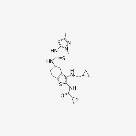 Cc1cc(NC(=S)NC2CCc3sc(NC(=O)C4CC4)c(NCC4CC4)c3C2)n(C)n1